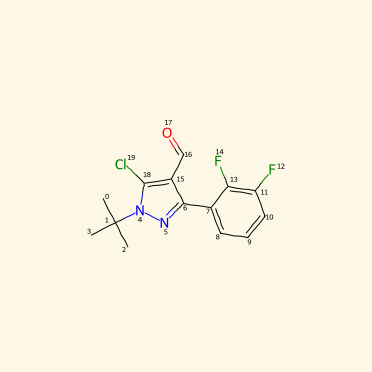 CC(C)(C)n1nc(-c2cccc(F)c2F)c(C=O)c1Cl